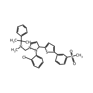 CN(CN1C=CC(c2ccc(-c3cccc(S(C)(=O)=O)c3)s2)N1c1ccccc1Cl)C(C)(C)c1ccccc1